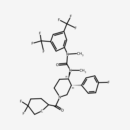 CN(C(=O)N(C)[C@@H]1CCN(C(=O)C2CCC(F)(F)CC2)C[C@H]1c1ccc(F)cc1)c1cc(C(F)(F)F)cc(C(F)(F)F)c1